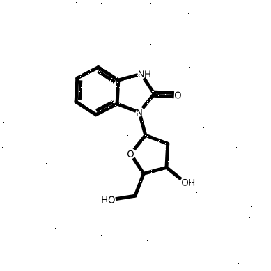 O=c1[nH]c2ccccc2n1C1CC(O)C(CO)O1